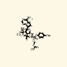 CC(C)C(=O)OCOP(=O)(OC[C@@H]1O[C@@](C#N)(c2ccc3c(N)ncnn23)[C@@H](C(C)(C)C(=O)O)[C@@H]1C(C)(C)C(=O)O)Oc1ccc(C(C)(C)C)cc1